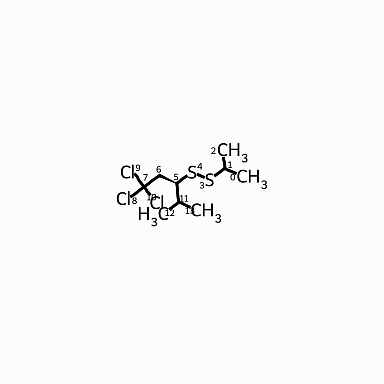 CC(C)SS[C@H](CC(Cl)(Cl)Cl)C(C)C